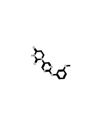 COc1cccc(Oc2ncc(N3CCC(=O)NC3=O)cn2)c1